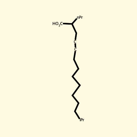 CCCC(CCCCCCCCCCC(C)C)C(=O)O